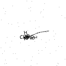 CC#CC#CC#CC#CC#CC#CC#CC#CC#CC#CC(=O)N(c1cccc(C(=O)O)c1)C(C)c1n[nH]c2c(Cl)c(C)nn12